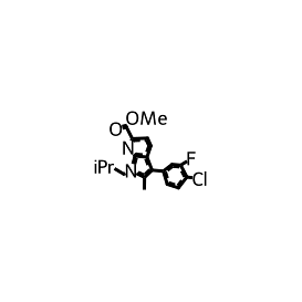 COC(=O)c1ccc2c(-c3ccc(Cl)c(F)c3)c(C)n(CC(C)C)c2n1